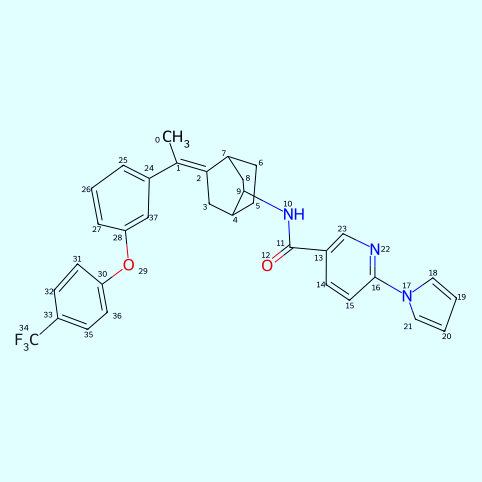 CC(=C1CC2CCC1CC2NC(=O)c1ccc(-n2cccc2)nc1)c1cccc(Oc2ccc(C(F)(F)F)cc2)c1